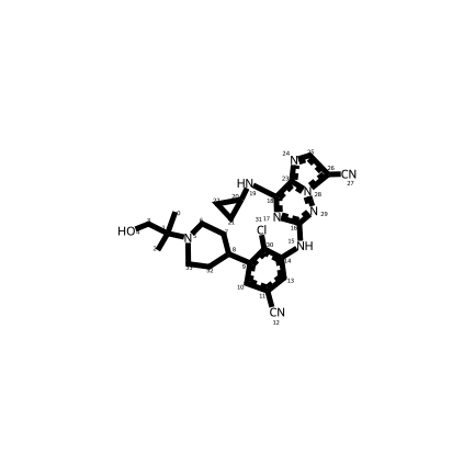 CC(C)(CO)N1CCC(c2cc(C#N)cc(Nc3nc(NC4CC4)c4ncc(C#N)n4n3)c2Cl)CC1